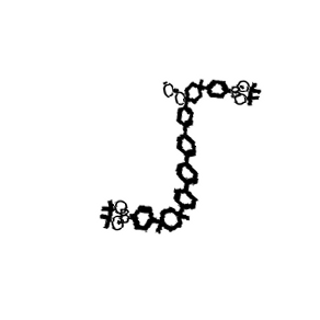 COCOC1(c2ccc(-c3ccc(-c4ccc(-c5ccc(C6(C)CCC(C)(c7ccc(B8OC(C)(C)C(C)(C)O8)cc7)CC6)cc5)cc4)cc3)cc2)CCC(C)(c2ccc(B3OC(C)(C)C(C)(C)O3)cc2)CC1